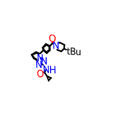 CC(C)(C)C1CCN(C(=O)c2ccc(-c3cccc4nc(NC(=O)C5CC5)nn34)cc2)CC1